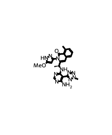 COc1cc(-n2c([C@H](C)Nc3ncnc(N)c3-c3nnn(C)n3)cc3cccc(C)c3c2=O)n[nH]1